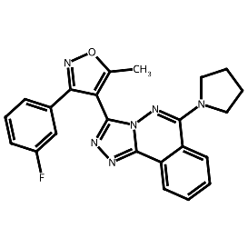 Cc1onc(-c2cccc(F)c2)c1-c1nnc2c3ccccc3c(N3CCCC3)nn12